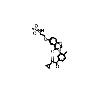 Cc1ccc(C(=O)NC2CC2)cc1-n1cnc2ccc(OCCNS(C)(=O)=O)cc2c1=O